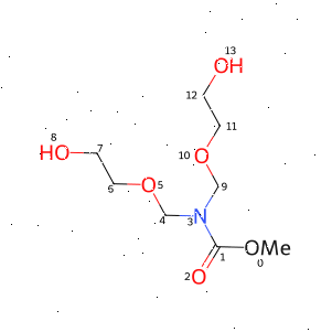 COC(=O)N(COCCO)COCCO